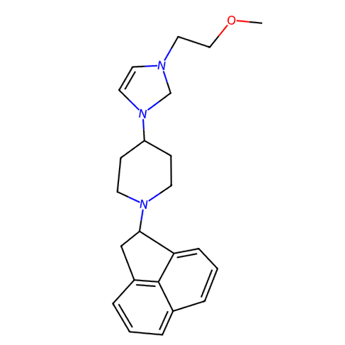 COCCN1C=CN(C2CCN(C3Cc4cccc5cccc3c45)CC2)C1